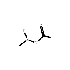 CB(F)OC(C)=O